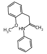 C=C(Cc1ccccc1OC)Nc1ccccc1